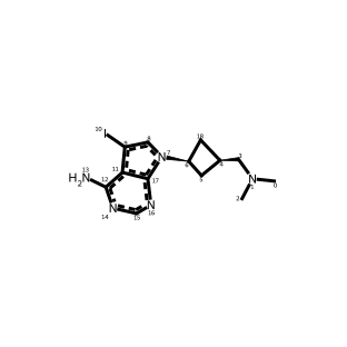 CN(C)C[C@H]1C[C@@H](n2cc(I)c3c(N)ncnc32)C1